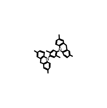 Cc1ccc2c(c1)Cc1cc(C)ccc1N2c1cc(C)c(N2c3ccc(C)cc3Cc3cc(C)ccc32)cc1C